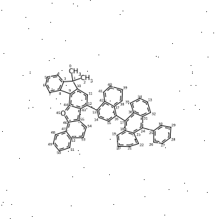 CC1(C)c2ccccc2-c2c1cc(-c1ccc(-c3c4ccccc4c(-c4ccccc4)c4ccccc34)c3ccccc13)c1c2oc2c3ccccc3ccc21